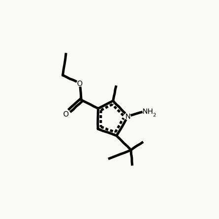 CCOC(=O)c1cc(C(C)(C)C)n(N)c1C